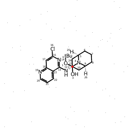 CC(C)(C)OC(O)N1[C@@H]2CCC[C@H]1C[C@H](Nc1nc(Cl)cc3ncccc13)C2